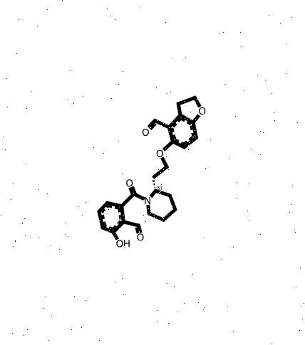 O=Cc1c(O)cccc1C(=O)N1CCCC[C@H]1CCOc1ccc2c(c1C=O)CCO2